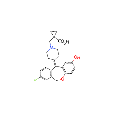 O=C(O)C1(CN2CCC(=C3c4ccc(F)cc4COc4ccc(O)cc43)CC2)CC1